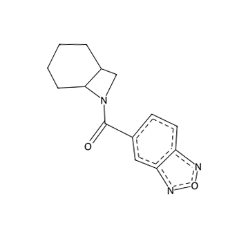 O=C(c1ccc2nonc2c1)N1CC2CCCCC21